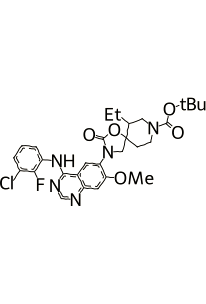 CCC1CN(C(=O)OC(C)(C)C)CCC12CN(c1cc3c(Nc4cccc(Cl)c4F)ncnc3cc1OC)C(=O)O2